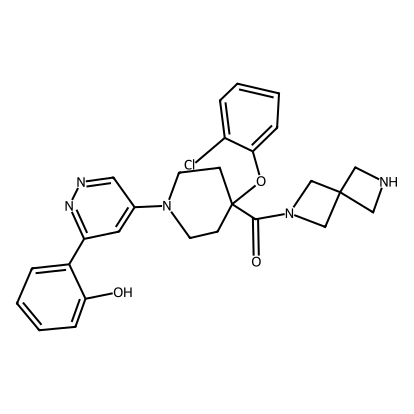 O=C(N1CC2(CNC2)C1)C1(Oc2ccccc2Cl)CCN(c2cnnc(-c3ccccc3O)c2)CC1